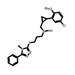 CCCN(CCCSc1nnc(-c2ccccc2)n1C)CC1CC1c1cc(Cl)ccc1OC